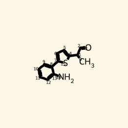 CC(C=O)c1ccc(-c2ccccc2N)s1